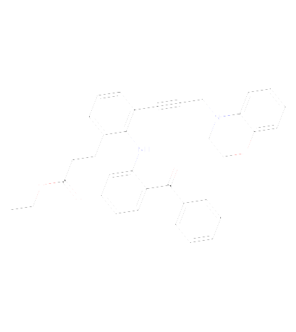 CCOC(=O)CCc1cccc(C#CCN2CCOc3ccccc32)c1Nc1ccccc1C(=O)c1ccccc1